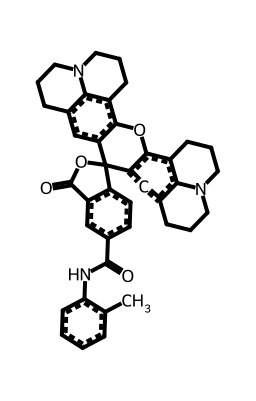 Cc1ccccc1NC(=O)c1ccc2c(c1)C(=O)OC21c2cc3c4c(c2Oc2c1cc1c5c2CCCN5CCC1)CCCN4CCC3